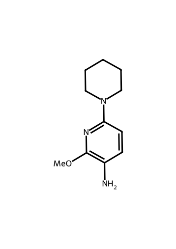 COc1nc(N2CCCCC2)ccc1N